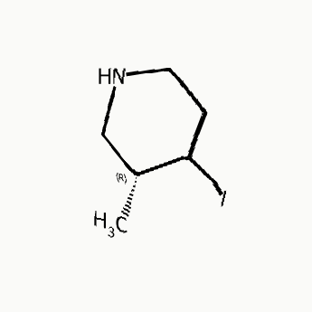 C[C@@H]1CNCCC1I